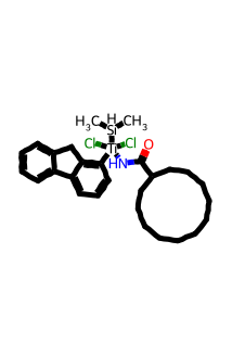 C[SiH](C)[Ti]([Cl])([Cl])([NH]C(=O)C1CCCCCCCCCCC1)[c]1cccc2c1Cc1ccccc1-2